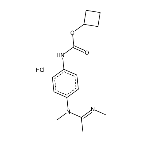 CN=C(C)N(C)c1ccc(NC(=O)OC2CCC2)cc1.Cl